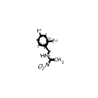 C=C(NCc1ccc(F)cc1F)[N+](=O)[O-]